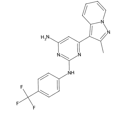 Cc1nn2ccccc2c1-c1cc(N)nc(Nc2ccc(C(F)(F)F)cc2)n1